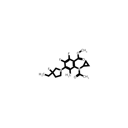 CCC1(F)CCN(c2c(C)c(N(C(C)=O)C3CC3)c(C(=O)OC)c(F)c2F)C1